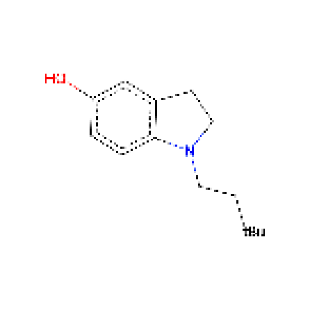 CC(C)(C)CCN1CCc2cc(O)ccc21